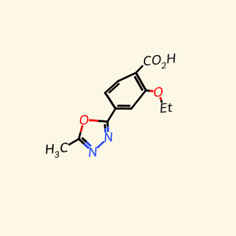 CCOc1cc(-c2nnc(C)o2)ccc1C(=O)O